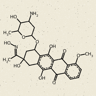 COc1cccc2c1C(=O)c1c(O)c3c(c(O)c1C2=O)CC(O)(C(C)=NO)CC3OC1CC(N)C(O)C(C)O1